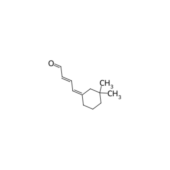 CC1(C)CCCC(=CC=CC=O)C1